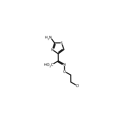 Nc1nc(C(=NOCCCl)C(=O)O)cs1